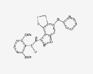 COc1cccc(OC)c1[S+]([O-])Nc1noc2cc(Oc3ccccn3)c3c(c12)OCC3